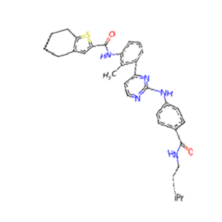 Cc1c(NC(=O)c2cc3c(s2)CCCC3)cccc1-c1ccnc(Nc2ccc(C(=O)NCCC(C)C)cc2)n1